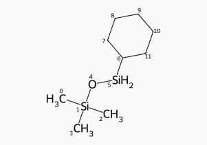 C[Si](C)(C)O[SiH2]C1CCCCC1